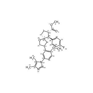 COC(=O)[C@H]1CC[C@@]2(CC(c3cc(-n4nnc(C)c4C)ccc3OC)CO2)[C@@H]1c1ccc(F)cc1